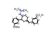 COc1cccc(C2C/C(=C/c3cccc(C(=O)O)c3)CCC2CN(C)C)c1